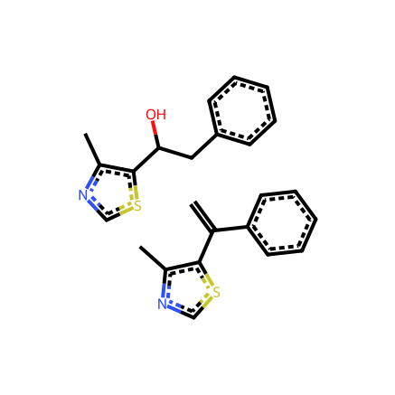 C=C(c1ccccc1)c1scnc1C.Cc1ncsc1C(O)Cc1ccccc1